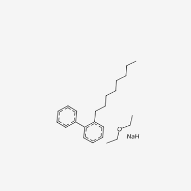 CCCCCCCCc1ccccc1-c1ccccc1.CCOCC.[NaH]